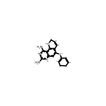 Nc1nc(N)c2c3c(c(OC4=CCCC=C4)cc2n1)C=CCO3